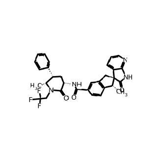 C[C@@H]1[C@H](c2ccccc2)C[C@H](NC(=O)c2ccc3c(c2)C[C@@]2(C(=O)Nc4ncccc42)[C@@H]3C)C(=O)N1CC(F)(F)F